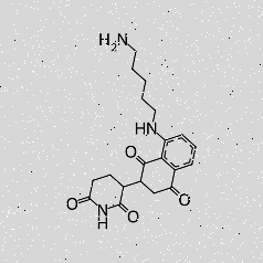 NCCCCCNc1cccc2c1C(=O)C(C1CCC(=O)NC1=O)CC2=O